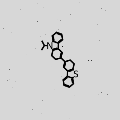 CC(C)n1c2c(c3ccccc31)C=C(C1=Cc3c(sc4ccccc34)CC1)CC2